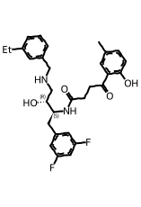 CCc1cccc(CNC[C@@H](O)[C@H](Cc2cc(F)cc(F)c2)NC(=O)CCC(=O)c2cc(C)ccc2O)c1